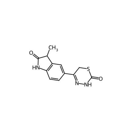 CC1C(=O)Nc2ccc(C3=NNC(=O)SC3)cc21